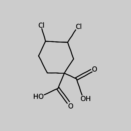 O=C(O)C1(C(=O)O)CCC(Cl)C(Cl)C1